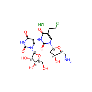 Cl.NC[C@H]1O[C@@H](n2cc(CCCl)c(=O)[nH]c2=O)C[C@@H]1O.O=c1ccn([C@@H]2O[C@H](CO)[C@@H](O)[C@H]2O)c(=O)[nH]1